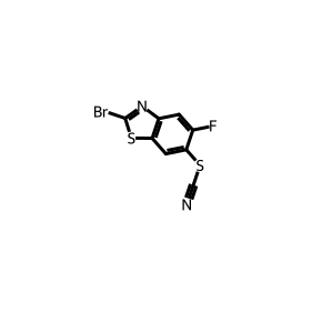 N#CSc1cc2sc(Br)nc2cc1F